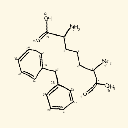 NC(CCCC(N)C(=O)O)C(=O)O.c1ccc(Cc2ccccc2)cc1